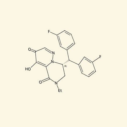 CCN1C[C@@H](C(c2cccc(F)c2)c2cccc(F)c2)n2ncc(=O)c(O)c2C1=O